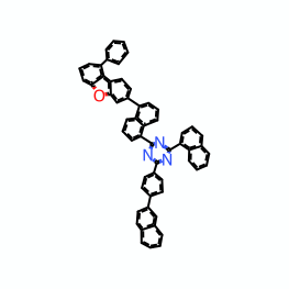 c1ccc(-c2cccc3oc4cc(-c5cccc6c(-c7nc(-c8ccc(-c9ccc%10ccccc%10c9)cc8)nc(-c8cccc9ccccc89)n7)cccc56)ccc4c23)cc1